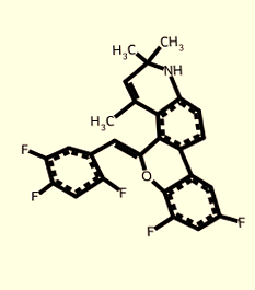 CC1=CC(C)(C)Nc2ccc3c(c21)C(=Cc1cc(F)c(F)cc1F)Oc1c(F)cc(F)cc1-3